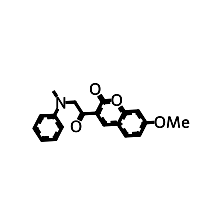 COc1ccc2cc(C(=O)CN(C)c3ccccc3)c(=O)oc2c1